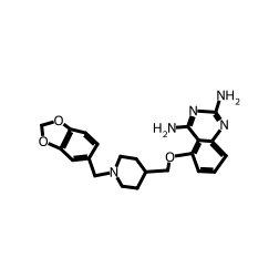 Nc1nc(N)c2c(OCC3CCN(Cc4ccc5c(c4)OCO5)CC3)cccc2n1